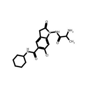 CC(N)C(=O)NN1C(=O)Cc2cc(C(=O)NC3CCCCC3)c(Cl)cc21